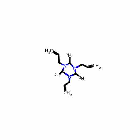 [2H]C1N(CC=C)C([2H])N(CC=C)C([2H])N1CC=C